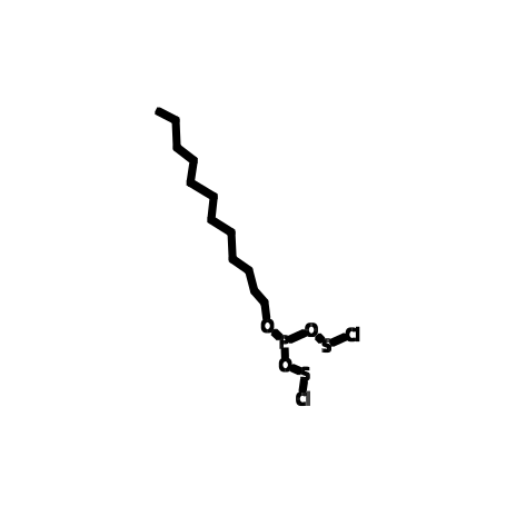 CCCCCCCCCCCCOP(OSCl)OSCl